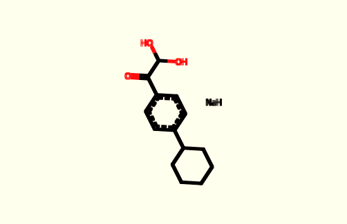 O=C(c1ccc(C2CCCCC2)cc1)C(O)O.[NaH]